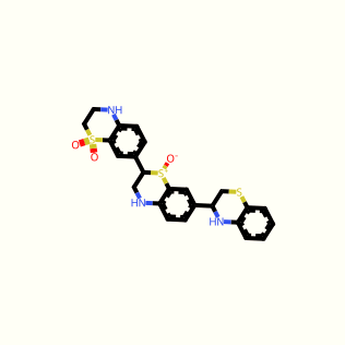 O=S1(=O)CCNc2ccc(C3CNc4ccc(C5CSc6ccccc6N5)cc4[S+]3[O-])cc21